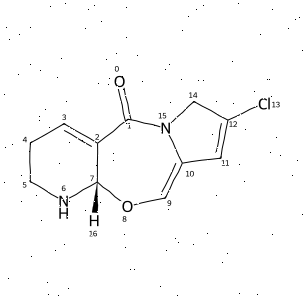 O=C1C2=CCCN[C@H]2OC=C2C=C(Cl)CN12